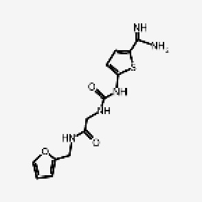 N=C(N)c1ccc(NC(=O)NCC(=O)NCc2ccco2)s1